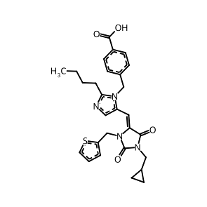 CCCCc1ncc(/C=C2/C(=O)N(CC3CC3)C(=O)N2Cc2cccs2)n1Cc1ccc(C(=O)O)cc1